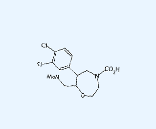 CNCC1OCCN(C(=O)O)CC1c1ccc(Cl)c(Cl)c1